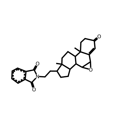 CC12CCC(=O)C=C1C1OC1C1C2CCC2(C)C(CCN3C(=O)c4ccccc4C3=O)CCC12